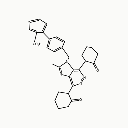 Cc1nc2c(C3CCCCC3=O)nnc(C3CCCCC3=O)c2n1Cc1ccc(-c2ccccc2C(=O)O)cc1